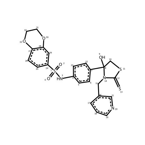 O=S(=O)(Nc1ccc(C2(O)CSC(=S)N2Cc2cccnc2)cc1)c1ccc2c(c1)OCCO2